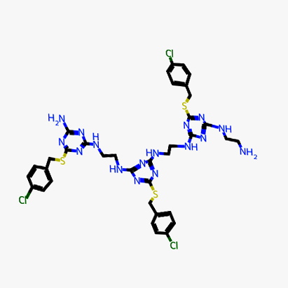 NCCNc1nc(NCCNc2nc(NCCNc3nc(N)nc(SCc4ccc(Cl)cc4)n3)nc(SCc3ccc(Cl)cc3)n2)nc(SCc2ccc(Cl)cc2)n1